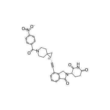 O=C1CCC(N2Cc3c(C#C[C@H]4CC45CCN(C(=O)c4ccc([N+](=O)[O-])cc4)CC5)cccc3C2=O)C(=O)N1